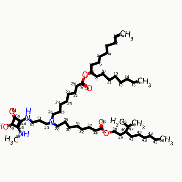 CCCCCCCCC(CCCCCCCC)OC(=O)CCCCCCCN(CCCCCCCC(=O)OCCC(CCCCCC)C(C)C)CCCNC1=C(NC)C(O)C1=O